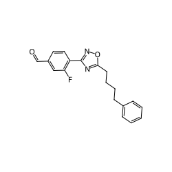 O=Cc1ccc(-c2noc(CCCCc3ccccc3)n2)c(F)c1